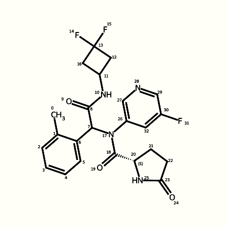 Cc1ccccc1C(C(=O)NC1CC(F)(F)C1)N(C(=O)[C@@H]1CCC(=O)N1)c1cncc(F)c1